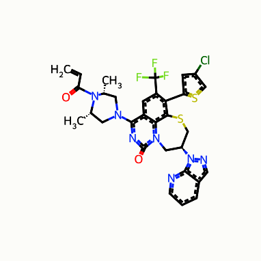 C=CC(=O)N1[C@H](C)CN(c2nc(=O)n3c4c(c(-c5cc(Cl)cs5)c(C(F)(F)F)cc24)SC[C@@H](n2ncc4cccnc42)C3)C[C@@H]1C